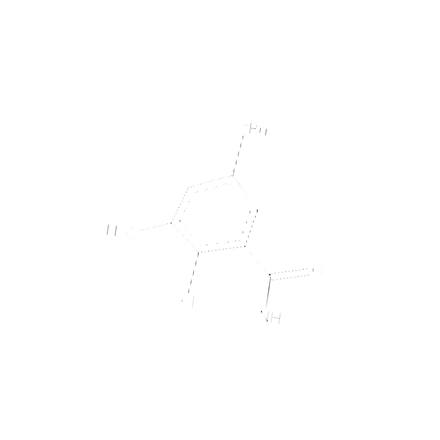 Cc1cc(C(C)(C)C)cc(C(N)=O)c1Cl